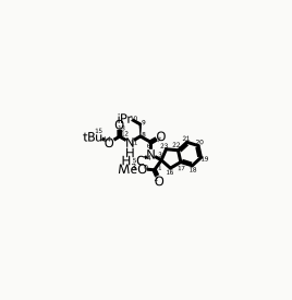 COC(=O)C1(N(C)C(=O)[C@H](CC(C)C)NC(=O)OC(C)(C)C)Cc2ccccc2C1